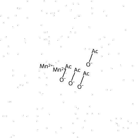 CC(=O)[O-].CC(=O)[O-].CC(=O)[O-].CC(=O)[O-].[Mn+2].[Mn+2]